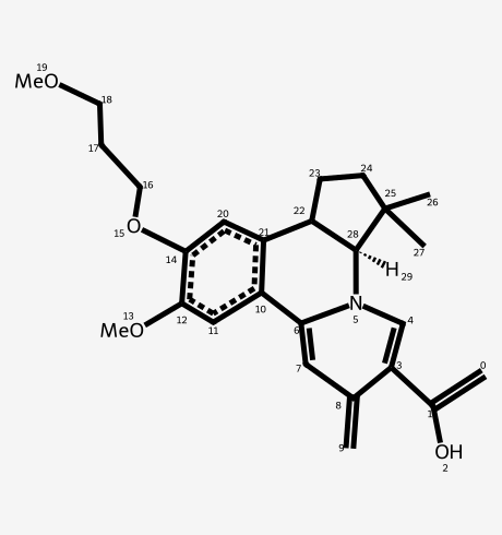 C=C(O)C1=CN2C(=CC1=C)c1cc(OC)c(OCCCOC)cc1C1CCC(C)(C)[C@H]12